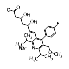 COCc1c(C(C)C)nc(C(C)C)c(C=CC(O)CC(O)CC(=O)[O-])c1-c1ccc(F)cc1.[Na+]